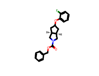 O=C(OCc1ccccc1)N1C[C@H]2CC(Oc3ccccc3F)C[C@H]2C1